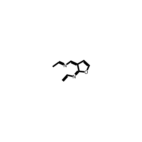 C=C/N=C1/OC=C/C1=C/N=C/C